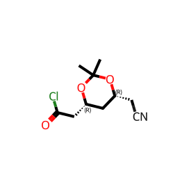 CC1(C)O[C@H](CC#N)C[C@H](CC(=O)Cl)O1